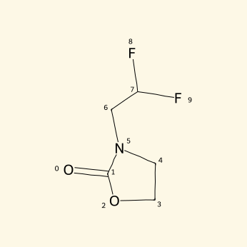 O=C1OCCN1CC(F)F